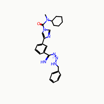 CN(C(=O)n1cnc(-c2cccc(C(=N)/N=N\NCc3ccccc3)c2)c1)C1CCCCC1